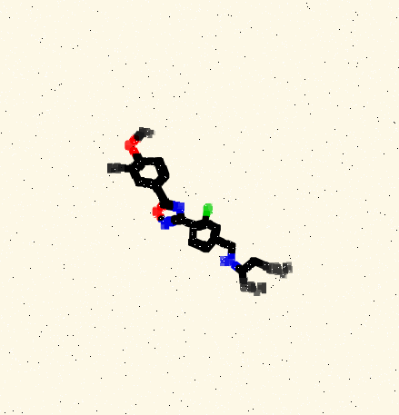 CC(C)Oc1ccc(-c2nc(-c3ccc(CNC(CC(=O)O)C(=O)O)cc3Cl)no2)cc1C#N